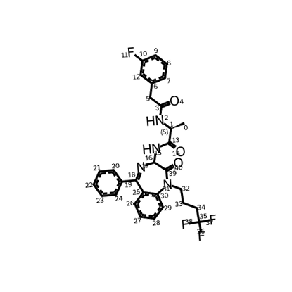 C[C@H](NC(=O)Cc1cccc(F)c1)C(=O)NC1N=C(c2ccccc2)c2ccccc2N(CCCC(F)(F)F)C1=O